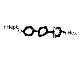 CCCCCCCOc1ccc(-c2ccc(-c3ncc(CCCCCC)cn3)cc2)cc1